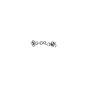 CC(C)c1noc(N2CCC(COc3ccc(-c4ccc(S(=O)(=O)C(C)C)cc4)cc3)CC2)n1